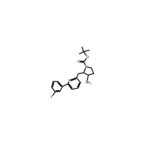 CC(C)(C)OC(=O)N1CCC(N)C1Cc1cccc(-c2cccc(F)c2)n1